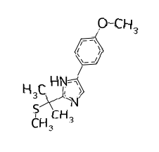 COc1ccc(-c2cnc(C(C)(C)SC)[nH]2)cc1